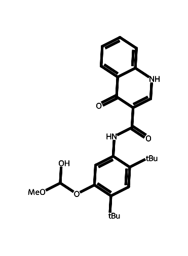 COC(O)Oc1cc(NC(=O)c2c[nH]c3ccccc3c2=O)c(C(C)(C)C)cc1C(C)(C)C